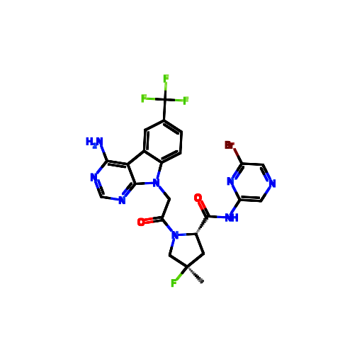 C[C@@]1(F)C[C@@H](C(=O)Nc2cncc(Br)n2)N(C(=O)Cn2c3ccc(C(F)(F)F)cc3c3c(N)ncnc32)C1